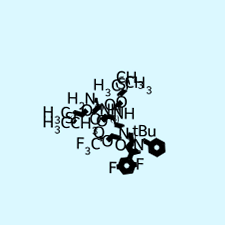 CC(C)(C)[C@H](c1cc(-c2cc(F)ccc2F)cn1Cc1ccccc1)N(CC[C@H](NC(=O)OCC[Si](C)(C)C)C(=O)N[C@H](CN)C(=O)OCC[Si](C)(C)C)C(=O)COC(=O)C(F)(F)F